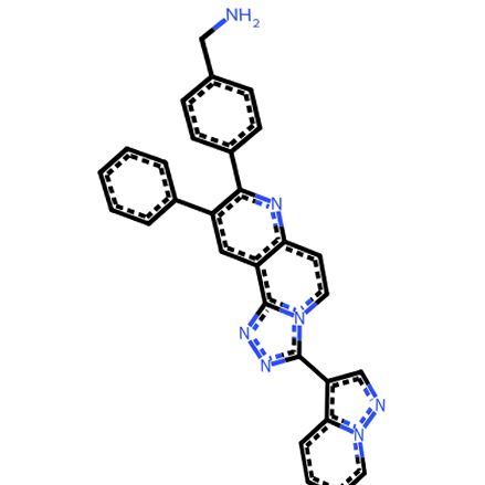 NCc1ccc(-c2nc3ccn4c(-c5cnn6ccccc56)nnc4c3cc2-c2ccccc2)cc1